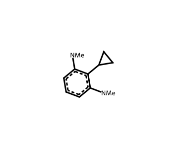 CNc1cccc(NC)c1C1CC1